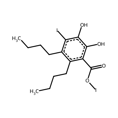 CCCCc1c(I)c(O)c(O)c(C(=O)OI)c1CCCC